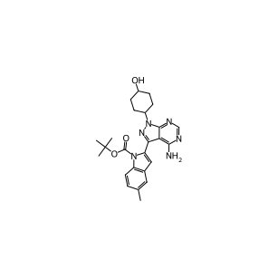 Cc1ccc2c(c1)cc(-c1nn(C3CCC(O)CC3)c3ncnc(N)c13)n2C(=O)OC(C)(C)C